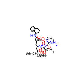 COC(CCC(CCCC(=O)N[C@@H]1CCCc2ccccc21)NC(=O)[C@@H](NC(=O)[C@H](N)N(C)C(=O)OC(C)(C)C)[C@H](C)O)OC